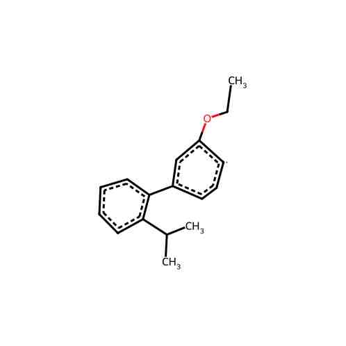 CCOc1[c]ccc(-c2ccccc2C(C)C)c1